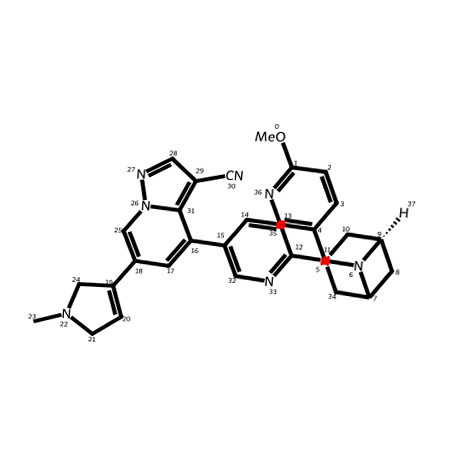 COc1ccc(CN2C3C[C@@H]2CN(c2ccc(-c4cc(C5=CCN(C)C5)cn5ncc(C#N)c45)cn2)C3)cn1